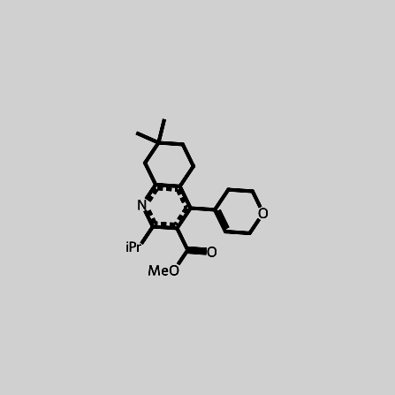 COC(=O)c1c(C(C)C)nc2c(c1C1=CCOCC1)CCC(C)(C)C2